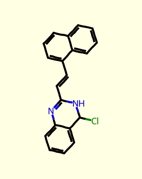 ClC1NC(C=Cc2cccc3ccccc23)=Nc2ccccc21